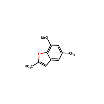 COc1cc(C)cc2cc(C(=O)O)oc12